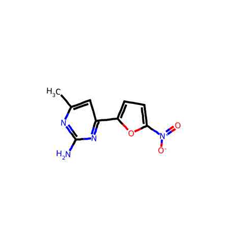 Cc1cc(-c2ccc([N+](=O)[O-])o2)nc(N)n1